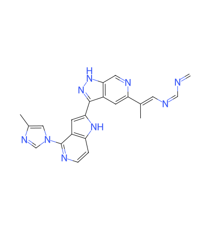 C=N/C=N\C=C(/C)c1cc2c(-c3cc4c(-n5cnc(C)c5)nccc4[nH]3)n[nH]c2cn1